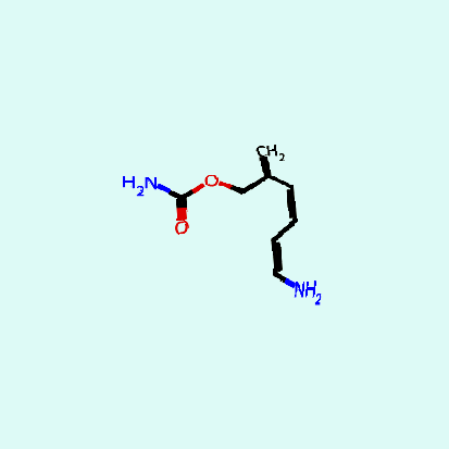 C=C(/C=C\C=C/N)COC(N)=O